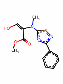 COC(=O)C(=CO)N(C)c1nc(-c2ccccc2)ns1